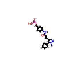 Cn1ncc(C=CC(=O)Nc2ccc(CO[PH](=O)O)cc2)c1-c1ccccc1